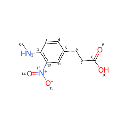 CNc1ccc(CCC(=O)O)cc1[N+](=O)[O-]